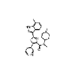 Cc1cccc2c(-c3nc(C(=O)N(C)C4CCN(C)CC4)c(-c4cccnc4)s3)n[nH]c12